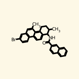 Cc1cc2cc(Br)ccc2c2ccc3c(c12)CCC(C)C3NC(=O)c1ccc2ccccc2c1